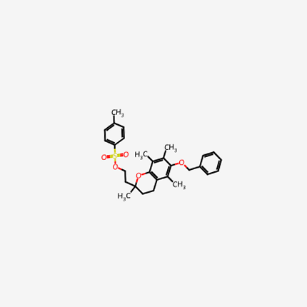 Cc1ccc(S(=O)(=O)OCCC2(C)CCc3c(C)c(OCc4ccccc4)c(C)c(C)c3O2)cc1